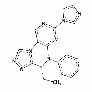 CCC1c2nncn2-c2cnc(-n3ccnc3)nc2N1c1ccccc1